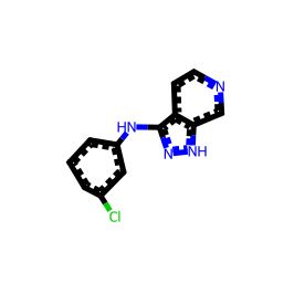 Clc1cccc(Nc2n[nH]c3cnccc23)c1